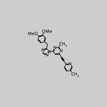 COc1ccc(Cc2ncnn2-c2cc(C#Cc3ccc(C)cn3)nc(C)n2)cc1OC